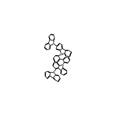 c1ccc(-n2c3ccccc3c3ccc(-n4c5ccccc5c5ccccc54)cc32)c(-c2ccccc2-n2c3ccccc3c3c(-n4c5ccccc5c5ccccc54)cccc32)c1